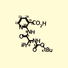 CC(C)[C@H](NC(=O)OC(C)(C)C)C(=O)Nc1ncccc1C(=O)O